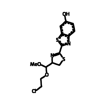 COC(OCCCl)C1CSC(c2nc3ccc(O)cc3s2)=N1